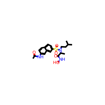 CC(=O)Nc1ccc2ccc(S(=O)(=O)N(CCC(C)C)C(C)C(=O)NO)cc2c1